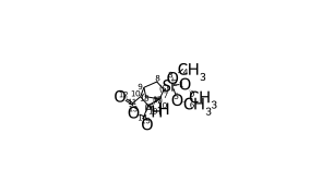 CO[Si](OC)(OC)[C@H]1CC2=C3C(=O)OC(=O)[C@H]3[C@H]1C2